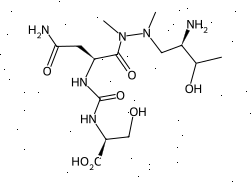 CC(O)[C@H](N)CN(C)N(C)C(=O)[C@H](CC(N)=O)NC(=O)N[C@@H](CO)C(=O)O